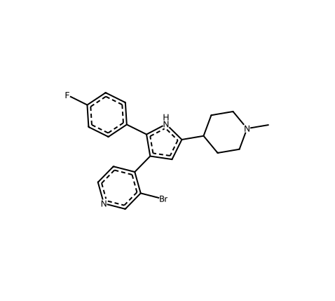 CN1CCC(c2cc(-c3ccncc3Br)c(-c3ccc(F)cc3)[nH]2)CC1